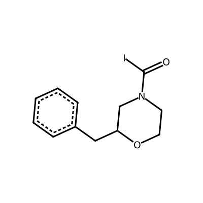 O=C(I)N1CCOC(Cc2ccccc2)C1